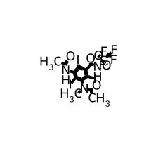 CC(=O)Nc1c(I)c(C(=O)NS(=O)(=O)C(F)(F)F)c(I)c(N(C)C(C)=O)c1I